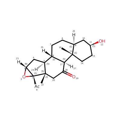 CC(=O)[C@@]12O[C@@H]1C[C@H]1[C@@H]3CC[C@H]4C[C@@H](O)CC[C@]4(C)[C@H]3C(=O)C[C@@]12C